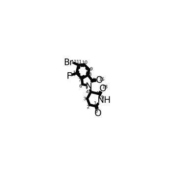 O=C1CCC(N2Cc3c(ccc(Br)c3F)C2=O)C(=O)N1